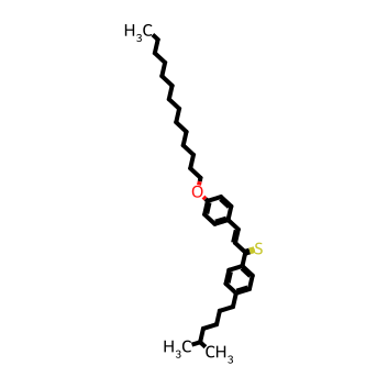 CCCCCCCCCCCCCCOc1ccc(C=CC(=S)c2ccc(CCCCC(C)C)cc2)cc1